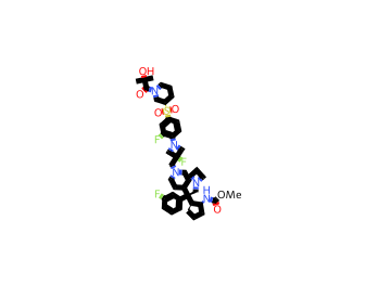 COC(=O)N[C@H]1CCC[C@@H]1[C@](CN1CCC1)(c1cccc(F)c1)C1CCN(CC2(F)CN(c3ccc(S(=O)(=O)[C@H]4CCCN(C(=O)C(C)(C)O)C4)cc3F)C2)CC1